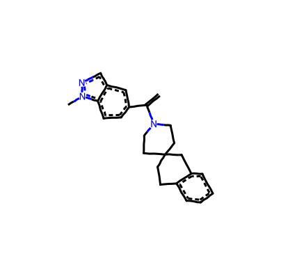 C=C(c1ccc2c(cnn2C)c1)N1CCC2(CCc3ccccc3C2)CC1